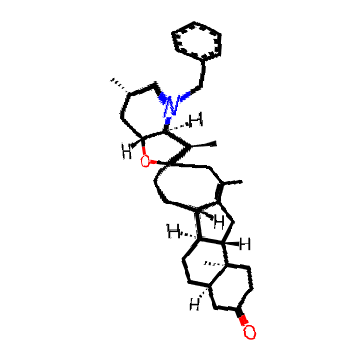 CC1=C2C[C@H]3[C@@H](CC[C@@H]4CC(=O)CC[C@@]43C)[C@@H]2CC[C@@]2(C1)O[C@@H]1C[C@H](C)CN(Cc3ccccc3)[C@H]1[C@H]2C